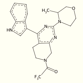 CC1COCCN1c1nc2c(c(-c3c[nH]c4ccccc34)n1)CCN(C(=O)C(F)(F)F)C2